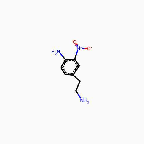 NCCc1ccc(N)c([N+](=O)[O-])c1